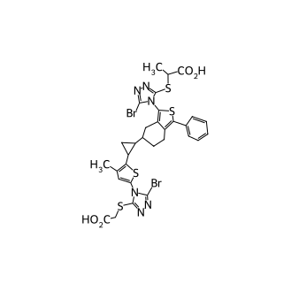 Cc1cc(-n2c(Br)nnc2SCC(=O)O)sc1C1CC1C1CCc2c(-c3ccccc3)sc(-n3c(Br)nnc3SC(C)C(=O)O)c2C1